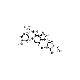 C[C@@H](Nc1ncnc2c1ncn2[C@@H]1O[C@H](CO)[C@@H](O)[C@H]1O)c1ccc(Cl)cc1